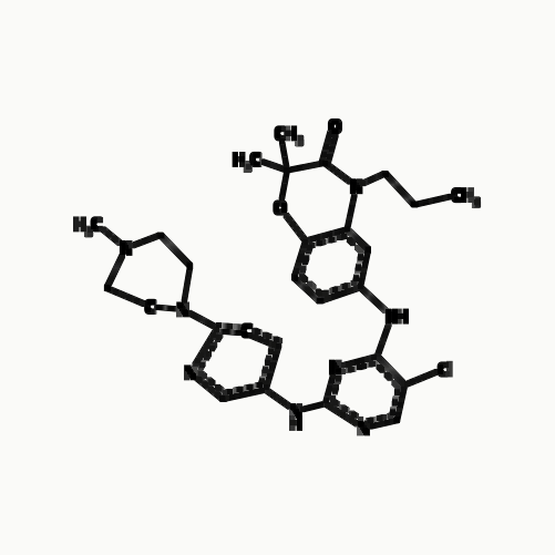 CCCN1C(=O)C(C)(C)Oc2ccc(Nc3nc(Nc4ccc(N5CCN(C)CC5)nc4)ncc3Cl)cc21